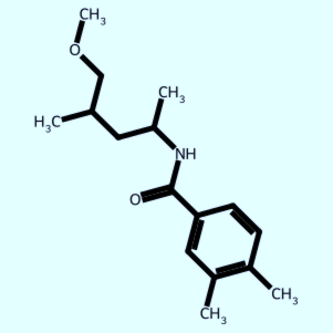 COCC(C)CC(C)NC(=O)c1ccc(C)c(C)c1